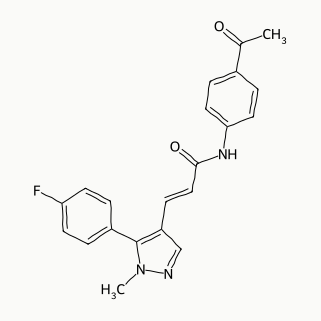 CC(=O)c1ccc(NC(=O)/C=C/c2cnn(C)c2-c2ccc(F)cc2)cc1